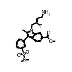 COC(=O)c1ccc2c(-c3cccc(S(=O)(=O)N(C)C)c3)c(C)n(CC(F)=CCN)c2c1